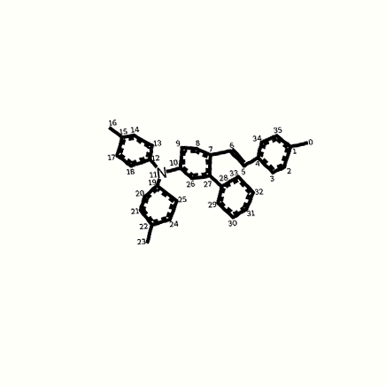 Cc1ccc(/C=C/c2ccc(N(c3ccc(C)cc3)c3ccc(C)cc3)cc2-c2ccccc2)cc1